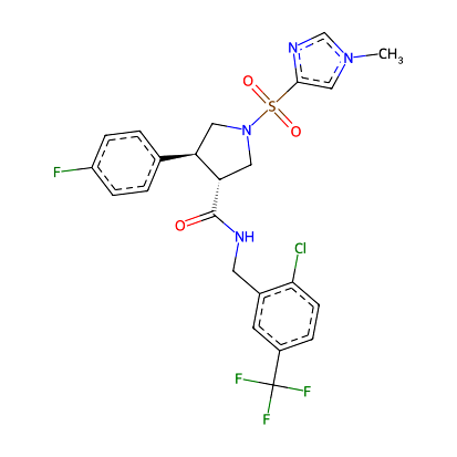 Cn1cnc(S(=O)(=O)N2C[C@H](C(=O)NCc3cc(C(F)(F)F)ccc3Cl)[C@@H](c3ccc(F)cc3)C2)c1